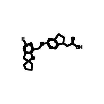 O=C(O)CC1CCc2cc(OCc3cc(F)cc4c3OC3(CCCC3)C4)ccc21